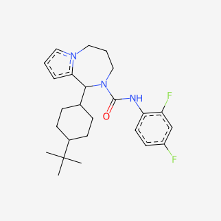 CC(C)(C)C1CCC(C2c3cccn3CCCN2C(=O)Nc2ccc(F)cc2F)CC1